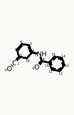 O=C=C1C=CC=C(NC(=O)c2ccccc2)C1